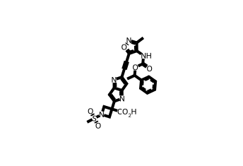 Cc1noc(C#CC2=CC3=NC(C4(C(=O)O)CN(S(C)(=O)=O)C4)=CC3=N2)c1NC(=O)OC(C)c1ccccc1